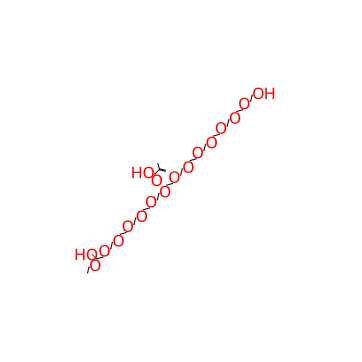 C=C(C)C(=O)O.CCOC(O)COCCOCCOCCOCCOCCOCCOCCOCCOCCOCCOCCOCCOCCO